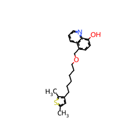 Cc1cc(CCCCCCOCc2ccc(O)c3ncccc23)c(C)s1